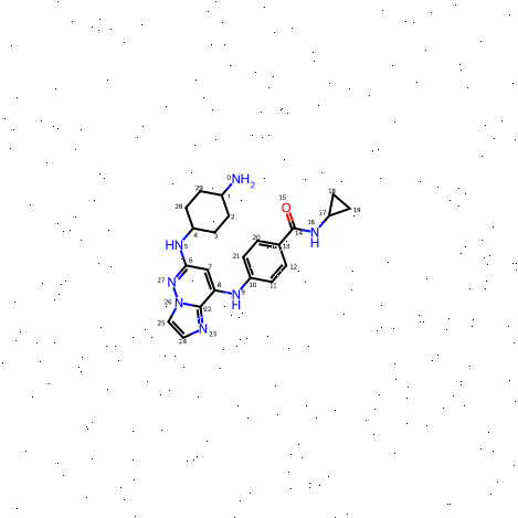 NC1CCC(Nc2cc(Nc3ccc(C(=O)NC4CC4)cc3)c3nccn3n2)CC1